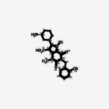 CCn1c(N2CCC[C@@H](N)C2)c(C(=O)O)c2c1c(=O)n(Cc1ncccc1C#N)c(=O)n2C